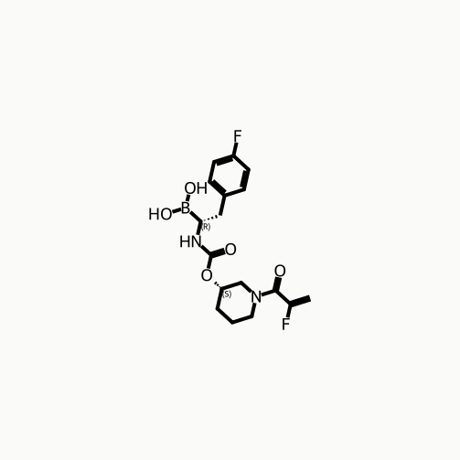 C=C(F)C(=O)N1CCC[C@H](OC(=O)N[C@@H](Cc2ccc(F)cc2)B(O)O)C1